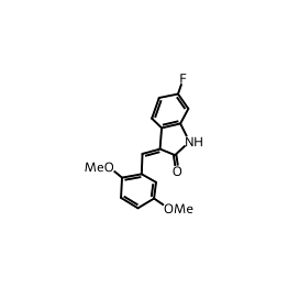 COc1ccc(OC)c(/C=C2\C(=O)Nc3cc(F)ccc32)c1